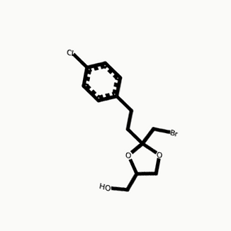 OCC1COC(CBr)(CCc2ccc(Cl)cc2)O1